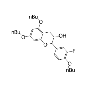 CCCCOc1cc(OCCCC)c2c(c1)OC(c1ccc(OCCCC)c(F)c1)[C@@H](O)C2